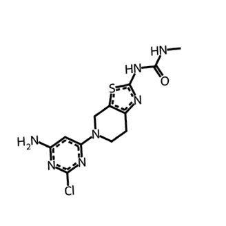 CNC(=O)Nc1nc2c(s1)CN(c1cc(N)nc(Cl)n1)CC2